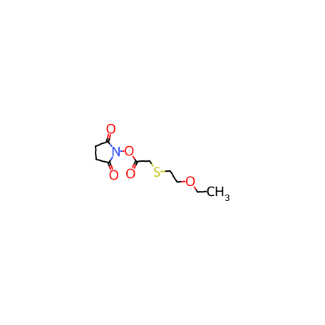 CCOCCSCC(=O)ON1C(=O)CCC1=O